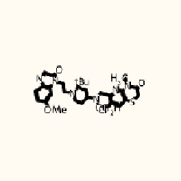 COc1ccc2ncc(=O)n(CCN3CCC(N(Cc4nc5c(cc4Cl)SCC(=O)N5C)C(=O)O)CC3C(C)(C)C)c2c1